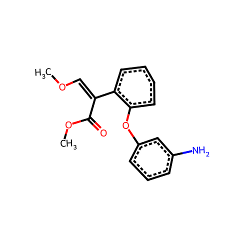 COC=C(C(=O)OC)c1ccccc1Oc1cccc(N)c1